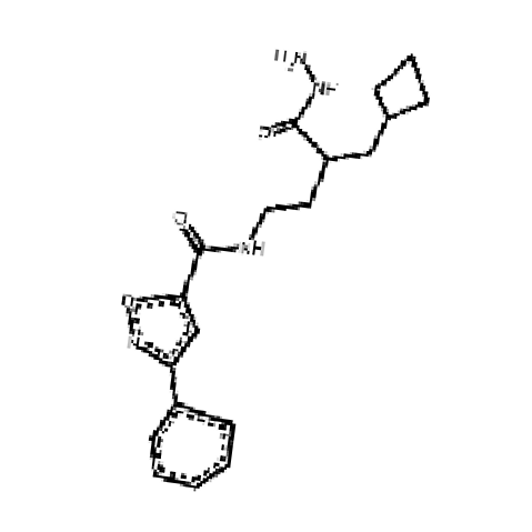 NNC(=O)C(CCNC(=O)c1cc(-c2ccccc2)no1)CC1CCC1